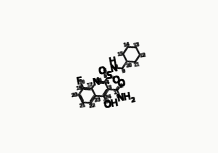 NC(=O)c1c(S(=O)(=O)NCC2CCCCC2)nc2c(F)cccc2c1O